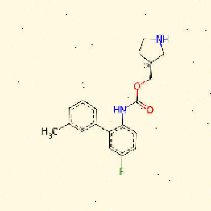 Cc1cccc(-c2cc(F)ccc2NC(=O)OC[C@H]2CCNC2)c1